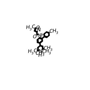 Cc1cc(C(=O)Nc2ccc(C3CC(C)(C)NC(C)(C)C3)cc2C2=CCC(C)CC2)no1